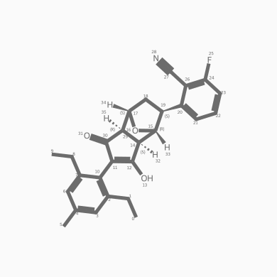 CCc1cc(C)cc(CC)c1C1=C(O)[C@@H]2[C@@H]3O[C@@H](C[C@H]3c3cccc(F)c3C#N)[C@@H]2C1=O